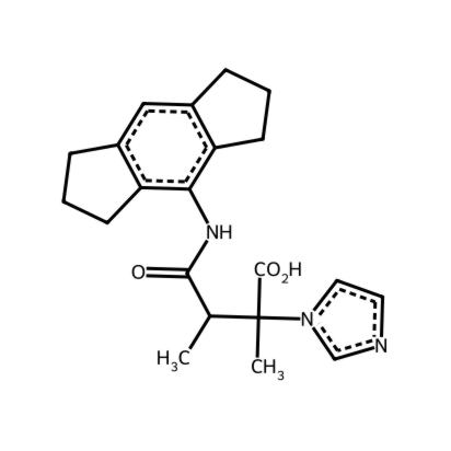 CC(C(=O)Nc1c2c(cc3c1CCC3)CCC2)C(C)(C(=O)O)n1ccnc1